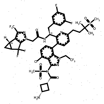 CC(C)(CCc1ccc(-c2ccc(Cl)c3c(N(C(=O)[C@H]4C[C@@H](N)C4)S(C)(=O)=O)nn(CC(F)(F)F)c23)c([C@H](Cc2cc(F)cc(F)c2)NC(=O)Cn2nc(C(F)(F)F)c3c2C(F)(F)C2C[C@H]32)n1)S(C)(=O)=O